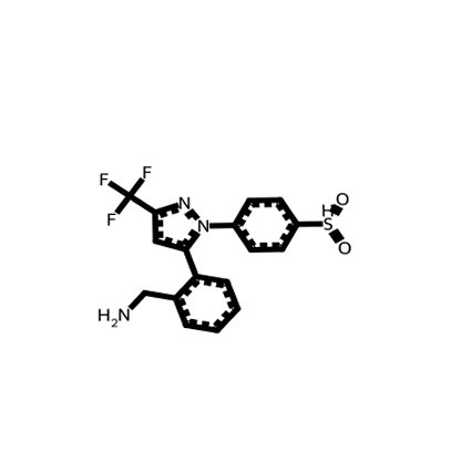 NCc1ccccc1-c1cc(C(F)(F)F)nn1-c1ccc([SH](=O)=O)cc1